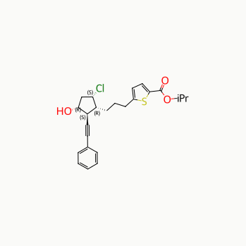 CC(C)OC(=O)c1ccc(CCC[C@@H]2[C@@H](C#Cc3ccccc3)[C@H](O)C[C@@H]2Cl)s1